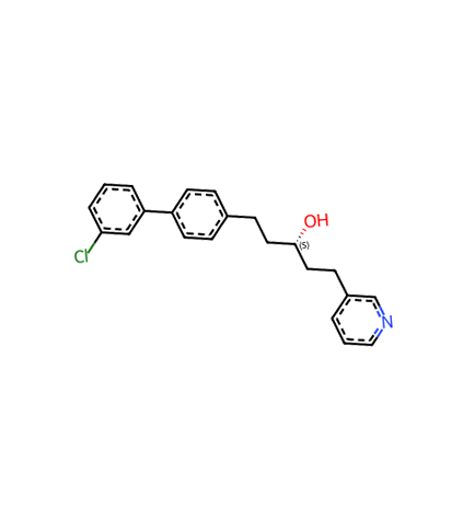 O[C@@H](CCc1ccc(-c2cccc(Cl)c2)cc1)CCc1cccnc1